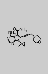 CC1(n2c(C#CCN3CCOCC3)c(C(N)=O)c3c(N)ncnc32)CC1